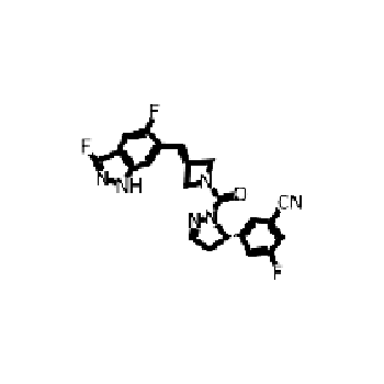 N#Cc1cc(F)cc([C@@H]2CC=NN2C(=O)N2CC(=Cc3cc4[nH]nc(F)c4cc3F)C2)c1